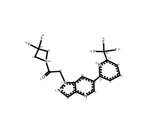 O=C(Cn1ncc2ncc(-c3cccc(C(F)(F)F)n3)cc21)N1CC(F)(F)C1